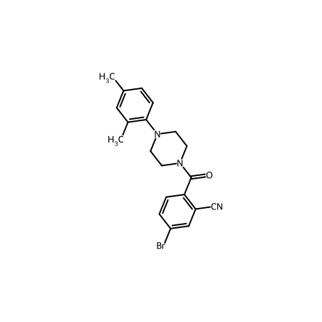 Cc1ccc(N2CCN(C(=O)c3ccc(Br)cc3C#N)CC2)c(C)c1